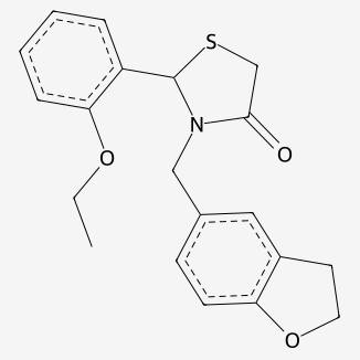 CCOc1ccccc1C1SCC(=O)N1Cc1ccc2c(c1)CCO2